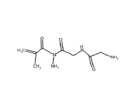 C=C(C)C(=O)N(N)C(=O)CNC(=O)CN